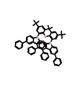 CC(C)(C)c1cc(B2c3ccc(-c4ccccc4)cc3-c3cc(-c4ccccc4)ccc32)c2c(c1)C(C)(C)c1cc(C(C)(C)C)cc(B3c4ccc(-c5ccccc5)cc4-c4cc(-c5ccccc5)ccc43)c1O2